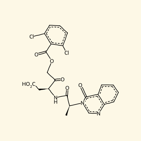 C[C@@H](C(=O)N[C@@H](CC(=O)O)C(=O)COC(=O)c1c(Cl)cccc1Cl)n1cnc2ccccc2c1=O